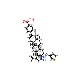 C=C(C)[C@@H]1CC[C@]2(NCc3ccsc3)CC[C@]3(C)[C@H](CC[C@@H]4[C@@]5(C)CC=C(c6ccc(C(=O)O)cc6)C(C)(C)[C@@H]5CC[C@]43C)[C@@H]12